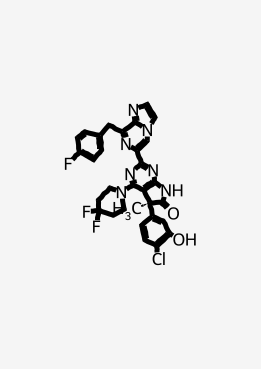 C[C@@]1(c2ccc(Cl)c(O)c2)C(=O)Nc2nc(-c3cn4ccnc4c(Cc4ccc(F)cc4)n3)nc(N3CCC(F)(F)CC3)c21